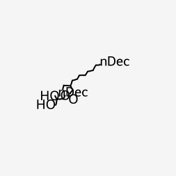 CCCCCCCCCCCCCCCCCCC(CCCCCCCCCCC)CC(=O)OCC(O)CO